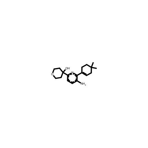 CC1(C)CC=C(c2nc(C3(O)CCOCC3)ccc2N)CC1